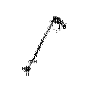 NCCCC[C@H](NC(=O)c1cccc(-n2cc(CNC(=O)CCOCCOCCOCCOCCOCCOCCOCCOCCOCCOCCOCCOCCNC(=O)CCCC[C@@H]3SC[C@@H]4NC(=O)N[C@@H]43)nn2)c1)C(=O)COc1c(F)cccc1F